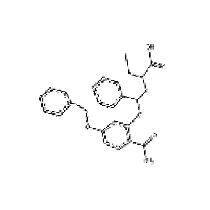 CCC(CC(Oc1cc(OCc2ccccc2)ccc1C(N)=O)c1ccccc1)C(=O)O